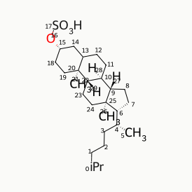 CC(C)CCC[C@@H](C)[C@H]1CC[C@H]2[C@@H]3CCC4C[C@@H](OS(=O)(=O)O)CC[C@]4(C)[C@H]3CC[C@]12C